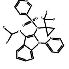 O=S(=O)(c1cccnc1)N(c1c(OC(F)F)c2ccccc2n1-c1ccccn1)C1(C(F)(F)F)CC1